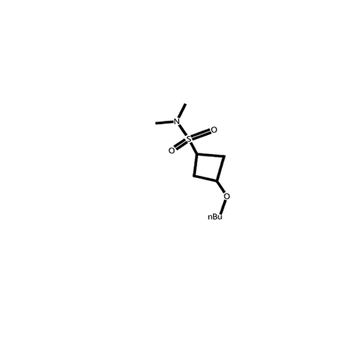 CCCCOC1CC(S(=O)(=O)N(C)C)C1